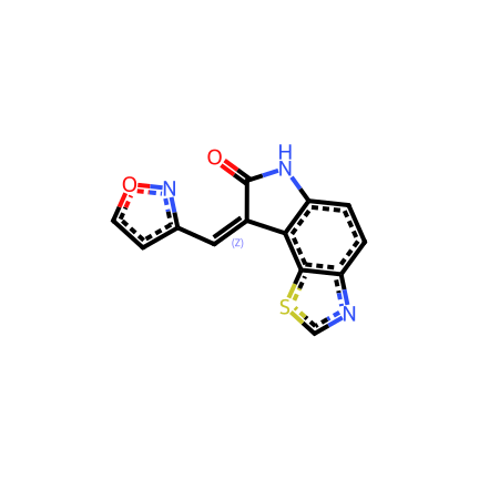 O=C1Nc2ccc3ncsc3c2/C1=C/c1ccon1